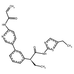 C=CC(=O)Nc1ccc(-c2cccc([C@H](CC)C(=O)Nc3ncc(CC)s3)c2)cn1